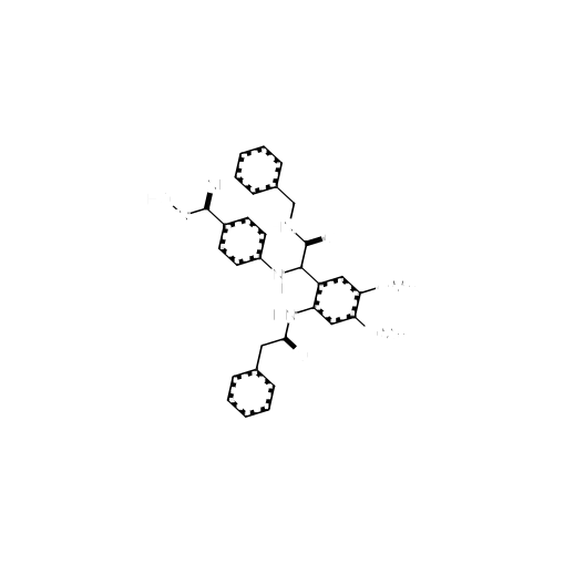 COc1cc(NC(=O)Cc2ccccc2)c(C(Nc2ccc(C(=N)NO)cc2)C(=O)NCc2ccccc2)cc1OC